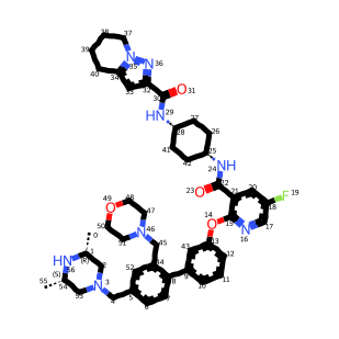 C[C@@H]1CN(Cc2ccc(-c3cccc(Oc4ncc(F)cc4C(=O)N[C@H]4CC[C@@H](NC(=O)c5cc6n(n5)CCCC6)CC4)c3)c(CN3CCOCC3)c2)C[C@H](C)N1